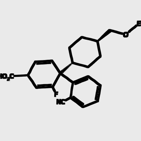 CCOC[C@H]1CC[C@H](C2(c3ccccc3C#N)C=CC(C(=O)O)C=C2F)CC1